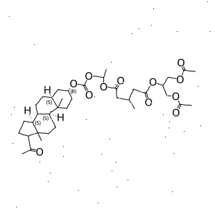 CC(=O)OCC(COC(C)=O)OC(=O)CC(C)CC(=O)OC(C)OC(=O)O[C@@H]1CCC2(C)[C@@H](CCC3[C@@H]4CCC(C(C)=O)C4(C)CC[C@@H]32)C1